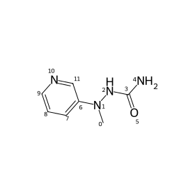 CN(NC(N)=O)c1cccnc1